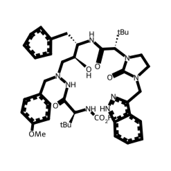 COc1ccc(CN(C[C@H](O)[C@H](Cc2ccccc2)NC(=O)[C@@H](N2CCN(Cc3n[nH]c4ccccc34)C2=O)C(C)(C)C)NC(=O)[C@@H](NC(=O)O)C(C)(C)C)cc1